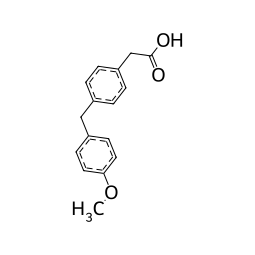 COc1ccc(Cc2ccc(CC(=O)O)cc2)cc1